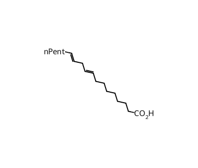 CCCCCC=CCC=CCCCCCCCC(=O)O